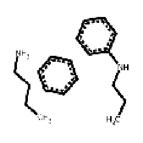 CCCCN.CCCNc1ccccc1.c1ccccc1